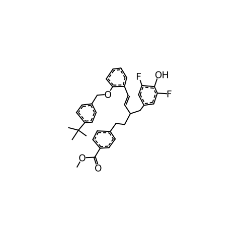 COC(=O)c1ccc(CCC(/C=C/c2ccccc2OCc2ccc(C(C)(C)C)cc2)Cc2cc(F)c(O)c(F)c2)cc1